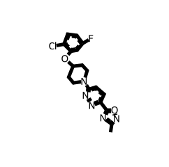 Cc1noc(-c2ccc(N3CCC(Oc4cc(F)ccc4Cl)CC3)nn2)n1